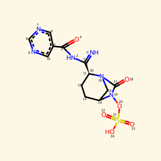 N=C(NC(=O)c1cncnc1)[C@@H]1CCC2CN1C(=O)N2OS(=O)(=O)O